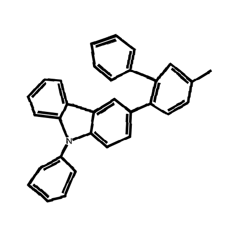 Cc1ccc(-c2ccc3c(c2)c2ccccc2n3-c2ccccc2)c(-c2ccccc2)c1